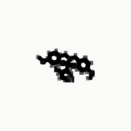 COc1ccc(CN(Cc2ccc(OC)cc2)S(=O)(=O)c2n[nH]cc2F)cc1